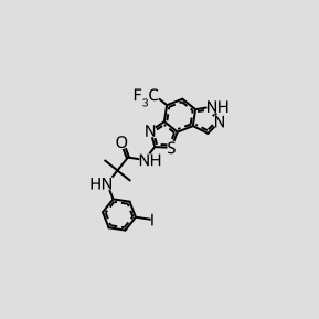 CC(C)(Nc1cccc(I)c1)C(=O)Nc1nc2c(C(F)(F)F)cc3[nH]ncc3c2s1